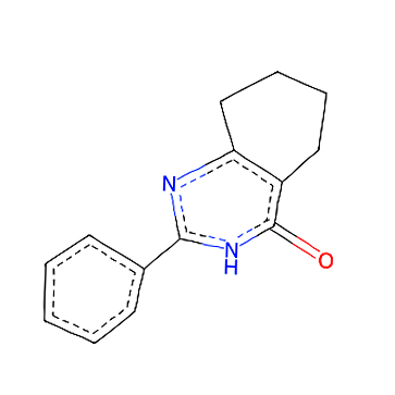 O=c1[nH]c(-c2ccccc2)nc2c1CCCC2